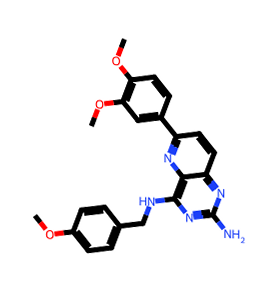 COc1ccc(CNc2nc(N)nc3ccc(-c4ccc(OC)c(OC)c4)nc23)cc1